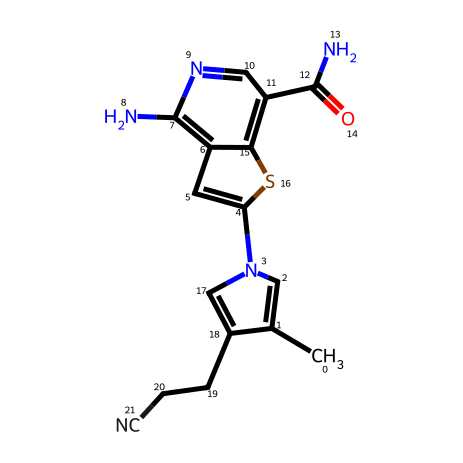 Cc1cn(-c2cc3c(N)ncc(C(N)=O)c3s2)cc1CCC#N